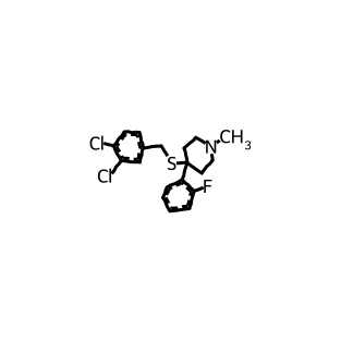 CN1CCC(SCc2ccc(Cl)c(Cl)c2)(c2ccccc2F)CC1